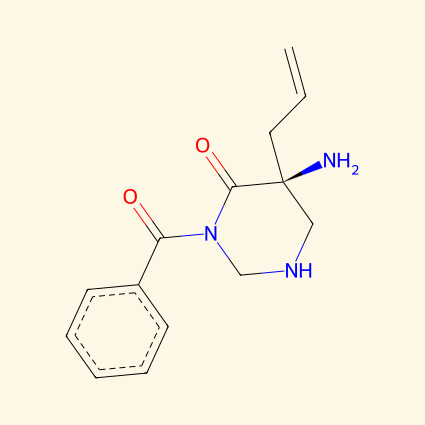 C=CC[C@]1(N)CNCN(C(=O)c2ccccc2)C1=O